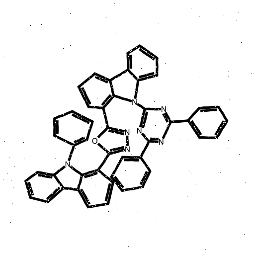 c1ccc(-c2nc(-c3ccccc3)nc(-n3c4ccccc4c4cccc(-c5nnc(-c6cccc7c8ccccc8n(-c8ccccc8)c67)o5)c43)n2)cc1